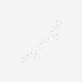 CC1(C)c2cc3c(cc2-c2cc4c(cc21)-c1c(cc(-c2cc5ccccc5o2)c2ccccc12)C4(C)C)C(C)(C)c1cc(-c2cc4ccccc4o2)c2ccccc2c1-3